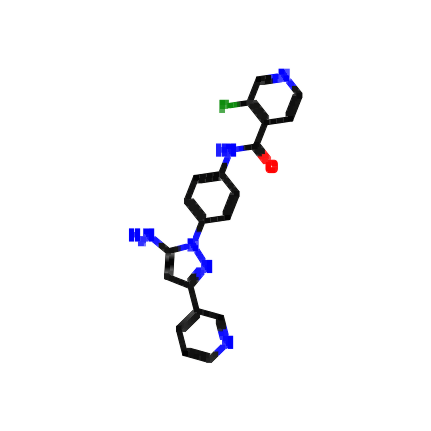 Nc1cc(-c2cccnc2)nn1-c1ccc(NC(=O)c2ccncc2F)cc1